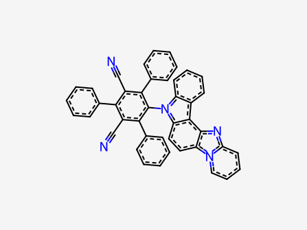 N#Cc1c(-c2ccccc2)c(C#N)c(-c2ccccc2)c(-n2c3ccccc3c3c4nc5ccccn5c4ccc32)c1-c1ccccc1